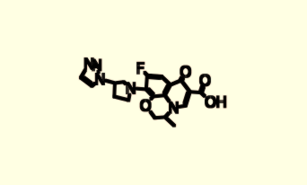 CC1COc2c(N3CCC(n4ccnn4)C3)c(F)cc3c(=O)c(C(=O)O)cn1c23